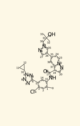 Cc1cc(Cl)c(-c2nnn(C3CC3)n2)cc1NC(=O)c1cnn2ccc(-c3cnn(CC(C)(C)O)c3)cc12